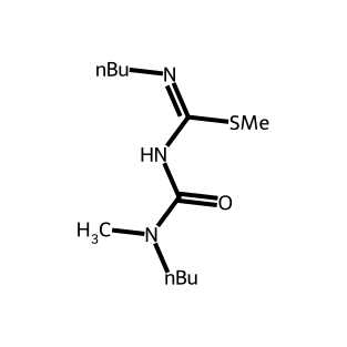 CCCCN=C(NC(=O)N(C)CCCC)SC